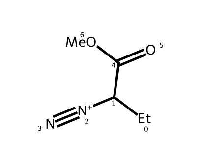 CCC([N+]#N)C(=O)OC